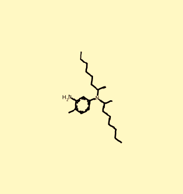 CCCCCCC(C)N(c1ccc(C)c(N)c1)C(C)CCCCCC